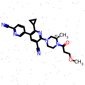 COCCC(=O)N1CCN(c2nc(C3CC3)c(-c3ccc(C#N)nc3)cc2C#N)C[C@H]1C